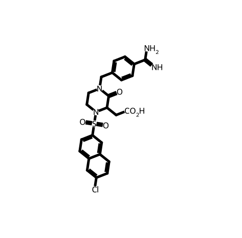 N=C(N)c1ccc(CN2CCN(S(=O)(=O)c3ccc4cc(Cl)ccc4c3)C(CC(=O)O)C2=O)cc1